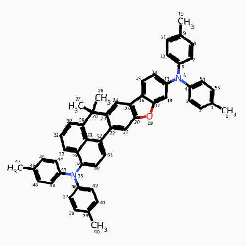 Cc1ccc(N(c2ccc(C)cc2)c2ccc3c(c2)oc2cc4c(cc23)C(C)(C)c2cccc3c(N(c5ccc(C)cc5)c5ccc(C)cc5)ccc-4c23)cc1